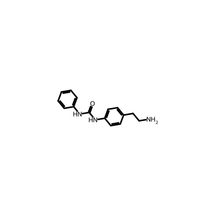 NCCc1ccc(NC(=O)Nc2ccccc2)cc1